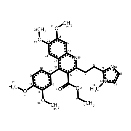 CCOC(=O)c1c(CCc2nccn2C)nc2cc(OC)c(OC)cc2c1-c1ccc(OC)c(OC)c1